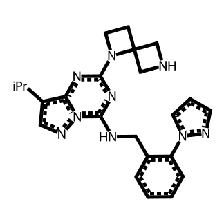 CC(C)c1cnn2c(NCc3ccccc3-n3cccn3)nc(N3CCC34CNC4)nc12